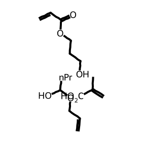 C=C(C)C(=O)O.C=CC(=O)OCCCO.C=CCOC(O)CCC